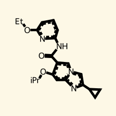 CCOc1cccc(NC(=O)c2cn3cc(C4CC4)nc3cc2OC(C)C)n1